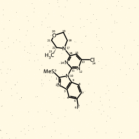 CSc1nc2cc(F)ccc2n1-c1nc(Cl)cc(N2CCOC[C@H]2C)n1